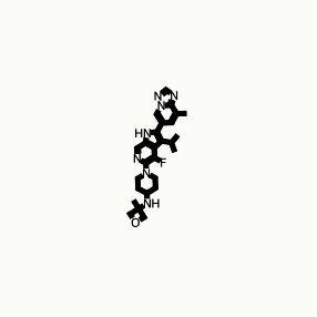 Cc1cc(-c2[nH]c3cnc(N4CCC(NC5(C)COC5)CC4)c(F)c3c2C(C)C)cn2ncnc12